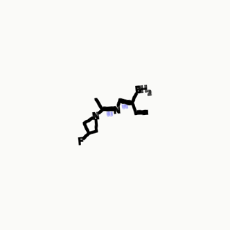 B/C(C=C)=C/N=C(\C)N1CC(F)C1